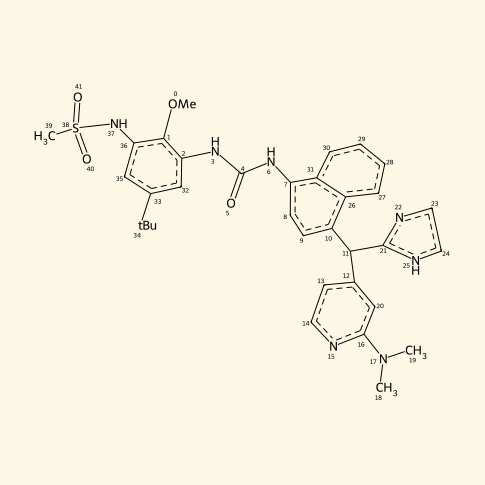 COc1c(NC(=O)Nc2ccc(C(c3ccnc(N(C)C)c3)c3ncc[nH]3)c3ccccc23)cc(C(C)(C)C)cc1NS(C)(=O)=O